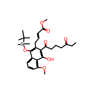 CCC(=O)CCCC(=O)c1c(CC=CC(=O)OC)c(O[Si](C)(C)C(C)(C)C)c2cccc(OC)c2c1O